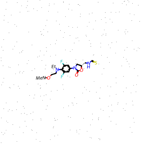 CCN(CCONC)c1c(F)cc(N2C[C@H](CNC=S)OC2=O)cc1F